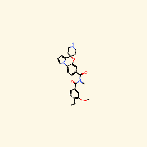 CCc1ccc(C(=O)N(C)C(=O)c2ccc3c(c2)OC2(CCNCC2)c2cccn2-3)cc1OC